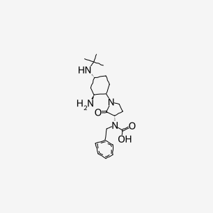 CC(C)(C)N[C@@H]1CCC(N2CC[C@H](N(Cc3ccccc3)C(=O)O)C2=O)[C@@H](N)C1